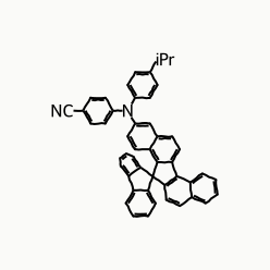 CC(C)c1ccc(N(c2ccc(C#N)cc2)c2ccc3c4c(ccc3c2)-c2c(ccc3ccccc23)C42c3ccccc3-c3ccccc32)cc1